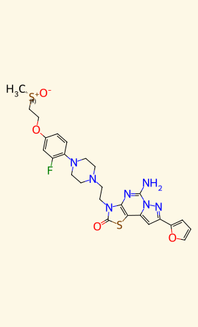 C[S@+]([O-])CCOc1ccc(N2CCN(CCn3c(=O)sc4c3nc(N)n3nc(-c5ccco5)cc43)CC2)c(F)c1